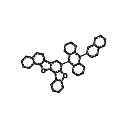 c1ccc2cc(-c3c4ccccc4c(-c4cc5c6ccc7ccccc7c6oc5c5c4oc4ccccc45)c4ccccc34)ccc2c1